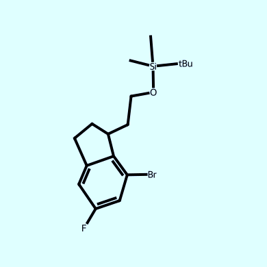 CC(C)(C)[Si](C)(C)OCCC1CCc2cc(F)cc(Br)c21